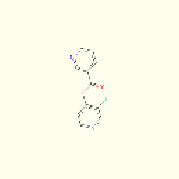 O=C(Cc1ccncc1F)c1cccnc1